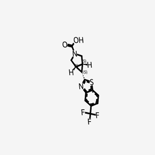 O=C(O)N1C[C@@H]2[C@H](C1)[C@@H]2c1nc2cc(C(F)(F)F)ccc2s1